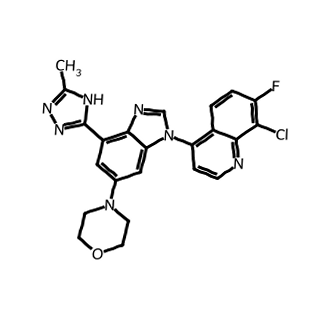 Cc1nnc(-c2cc(N3CCOCC3)cc3c2ncn3-c2ccnc3c(Cl)c(F)ccc23)[nH]1